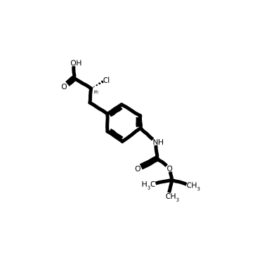 CC(C)(C)OC(=O)Nc1ccc(C[C@@H](Cl)C(=O)O)cc1